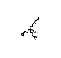 CCSCC(CSCC1CS1)(CSCC1CS1)SCCSCC1CS1